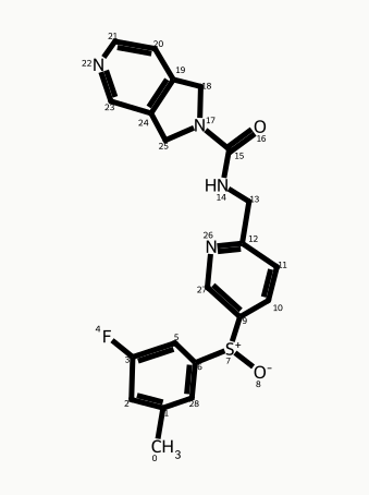 Cc1cc(F)cc([S+]([O-])c2ccc(CNC(=O)N3Cc4ccncc4C3)nc2)c1